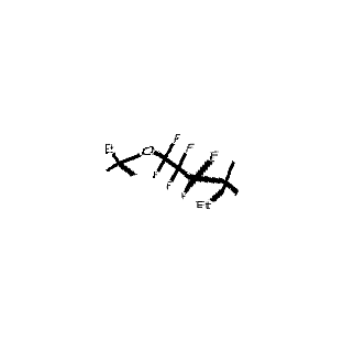 CCC(C)(C)OC(F)(F)C(F)(F)C(F)(F)C(C)(C)CC